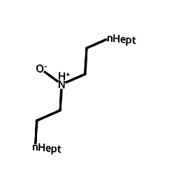 CCCCCCCCC[NH+]([O-])CCCCCCCCC